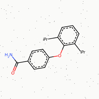 CC(C)c1cccc(C(C)C)c1Oc1ccc(C(N)=O)cc1